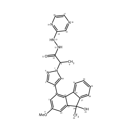 COc1cc(-c2cnn(C(C)C(=O)NNc3cnccn3)c2)c2c(c1)C(O)(C(F)(F)F)c1ccccc1-2